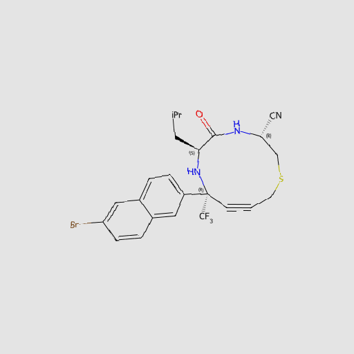 CC(C)C[C@@H]1N[C@@](c2ccc3cc(Br)ccc3c2)(C(F)(F)F)C#CCSC[C@@H](C#N)NC1=O